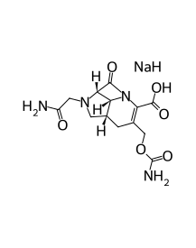 NC(=O)CN1C[C@H]2CC(COC(N)=O)=C(C(=O)O)N3C(=O)[C@@H]1[C@@H]23.[NaH]